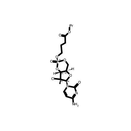 CC(C)OC(=O)CCCO[P@@]1(=O)OC[C@H]2O[C@@H](n3ccc(N)nc3=O)[C@](C)(Cl)[C@@H]2O1